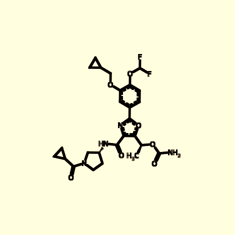 C[C@H](OC(N)=O)c1oc(-c2ccc(OC(F)F)c(OCC3CC3)c2)nc1C(=O)N[C@@H]1CCN(C(=O)C2CC2)C1